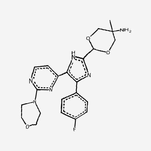 CC1(N)COC(c2nc(-c3ccc(F)cc3)c(-c3ccnc(N4CCOCC4)n3)[nH]2)OC1